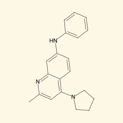 Cc1cc(N2CCCC2)c2ccc(Nc3ccccc3)cc2n1